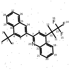 CC(C)(C)c1cc(-c2cc(C(C)(C)C(F)(F)F)c3ccccc3n2)cc2ccccc12